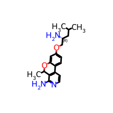 CC(C)C[C@@H](N)COc1ccc2c(c1)OC(C)c1c-2ccnc1N